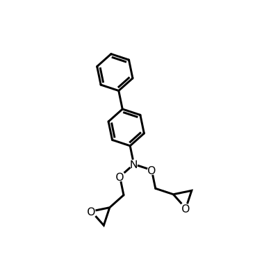 c1ccc(-c2ccc(N(OCC3CO3)OCC3CO3)cc2)cc1